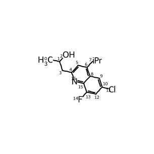 CC(O)Cc1cc(C(C)C)c2cc(Cl)cc(F)c2n1